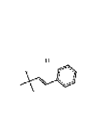 [CH2]C(C)(C)C=Cc1ccccc1.[H+]